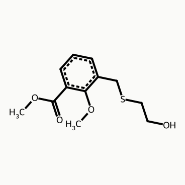 COC(=O)c1cccc(CSCCO)c1OC